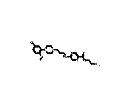 COc1ccc(Cl)cc1N1CCN(CCCNc2cnc(C(=O)NCCN)cn2)CC1